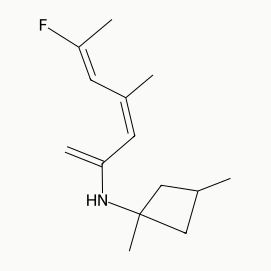 C=C(/C=C(C)\C=C(/C)F)NC1(C)CC(C)C1